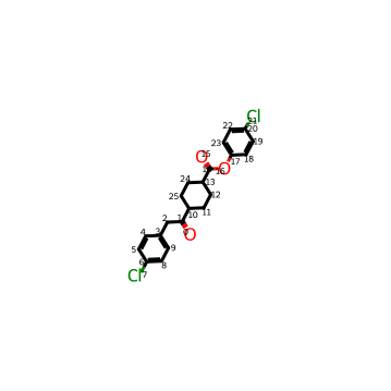 O=C(Cc1ccc(Cl)cc1)C1CCC(C(=O)Oc2ccc(Cl)cc2)CC1